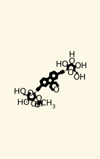 CC(=O)O[C@H]1[C@@H](O)[C@H](O)[C@@H](CO)O[C@@H]1C#Cc1ccc2c(c1)C1(CCOCC1)c1cc(C#C[C@H]3O[C@H](CO)[C@@H](O)[C@H](O)[C@@H]3O)ccc1-2